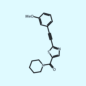 COc1cccc(C#Cc2ncc(C(=O)N3CCCCC3)s2)c1